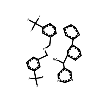 FC(F)(F)c1cccc(COCc2cccc(C(F)(F)F)c2)c1.OC(c1cncnc1)c1cccc(-c2ccccc2)c1